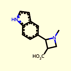 CN1CC(C(=O)O)C1c1ccc2[nH]ccc2c1